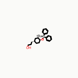 CC(C)(C)[Si](O[C@H]1CC[C@H](CCCO)CC1)(c1ccccc1)c1ccccc1